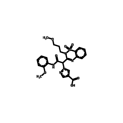 COCCCN1C(C(C(=O)Nc2ccccc2OC)n2cc(C(=O)O)cn2)=Nc2ccccc2S1(=O)=O